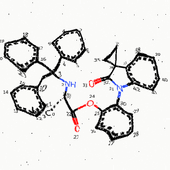 C[C@H](NC(c1ccccc1)(c1ccccc1)c1ccccc1)C(=O)Oc1ccccc1N1C(=O)C2(CC2)c2ccccc21